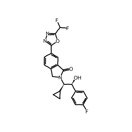 O=C1c2cc(-c3nnc(C(F)F)o3)ccc2CN1[C@H](C1CC1)[C@@H](O)c1ccc(F)cc1